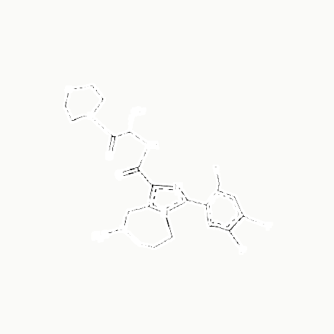 CN1CCCn2c(-c3cc(F)c(F)cc3F)nc(C(=O)N[C@H](C(=O)N3CCOCC3)C(C)(C)C)c2C1